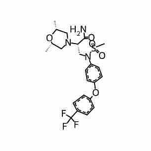 C[C@@H]1CN([C@@H](CN(c2ccc(Oc3ccc(C(F)(F)F)cc3)cc2)S(C)(=O)=O)C(N)=O)C[C@H](C)O1